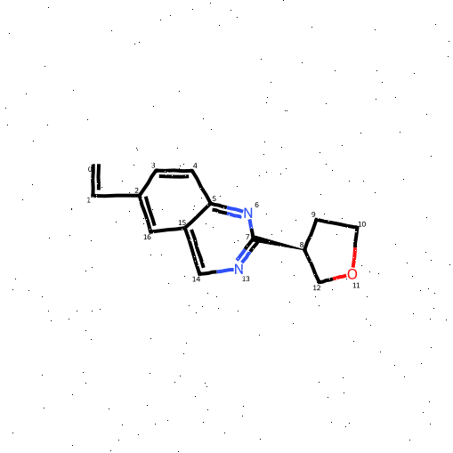 C=Cc1ccc2nc([C@H]3CCOC3)ncc2c1